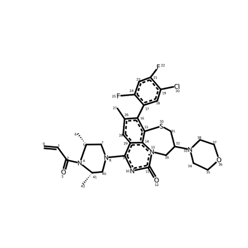 C=CC(=O)N1[C@H](C)CN(c2nc(=O)n3c4c(c(-c5cc(Cl)c(F)cc5F)c(C)cc24)SCC(N2CCOCC2)C3)C[C@@H]1C